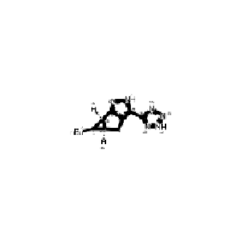 CCCC[C@@H]1[C@@H]2Cc3c(n[nH]c3-c3nn[nH]n3)[C@H]12